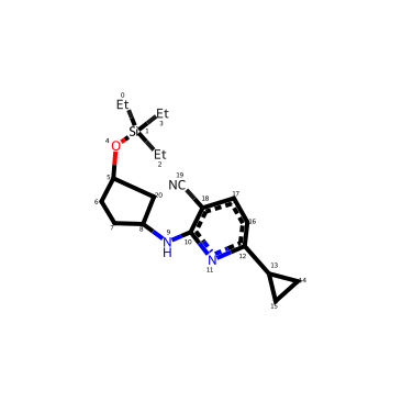 CC[Si](CC)(CC)OC1CCC(Nc2nc(C3CC3)ccc2C#N)C1